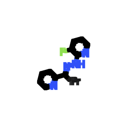 CC(C)/C(=N\Nc1ncccc1F)c1ccccn1